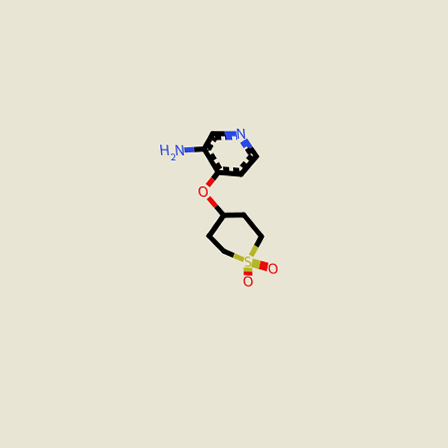 Nc1cnccc1OC1CCS(=O)(=O)CC1